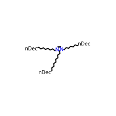 CCCCCCCCCCCCCCCCCCCC1N(CCCCCCCCCCCCCCCCC)C=CN1CCCCCCCCCCCCCCCCCC